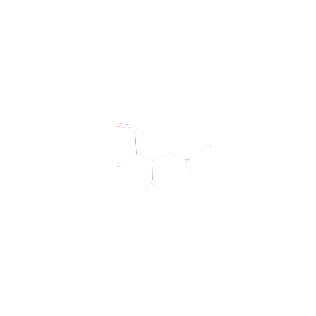 NC(=O)CC(N=O)C(CO)N=O